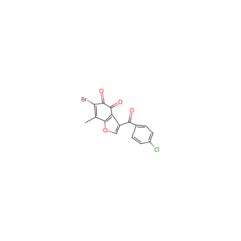 CC1=C(Br)C(=O)C(=O)c2c(C(=O)c3ccc(Cl)cc3)coc21